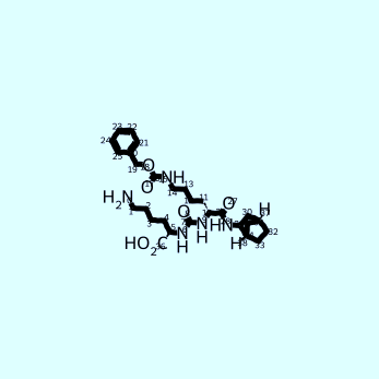 NCCCC[C@H](NC(=O)N[C@H](CCCCNC(=O)OCc1ccccc1)C(=O)NC1C[C@H]2CC[C@H]1C2)C(=O)O